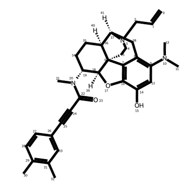 C=CCN1CC[C@]23c4c5c(N(C)C)cc(O)c4O[C@H]2[C@H](N(C)C(=O)C#Cc2ccc(C)c(C)c2)CC[C@H]3[C@H]1C5